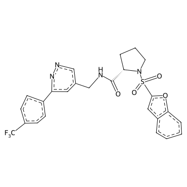 O=C(NCc1cnnc(-c2ccc(C(F)(F)F)cc2)c1)[C@@H]1CCCN1S(=O)(=O)c1cc2ccccc2o1